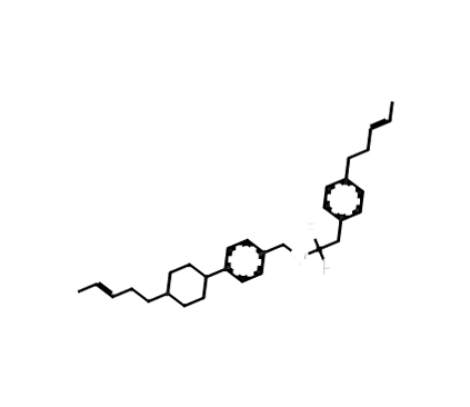 CC=CCCc1ccc(CC(F)(F)OCc2ccc(C3CCC(CCC=CC)CC3)cc2)cc1